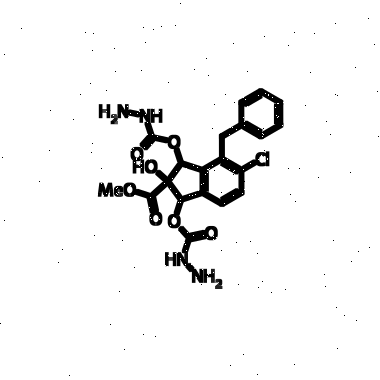 COC(=O)C1(O)C(OC(=O)NN)c2ccc(Cl)c(Cc3ccccc3)c2C1OC(=O)NN